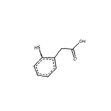 O=C(O)Cc1ccc[c]c1S